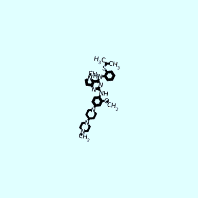 COc1cc(N2CCC(N3CCN(C)CC3)CC2)ccc1Nc1nc(Nc2ccccc2SC(C)C)c2c(ccn2C)n1